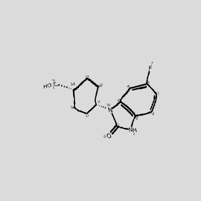 O=c1[nH]c2ccc(F)cc2n1[C@H]1CC[C@@H](C(=O)O)CC1